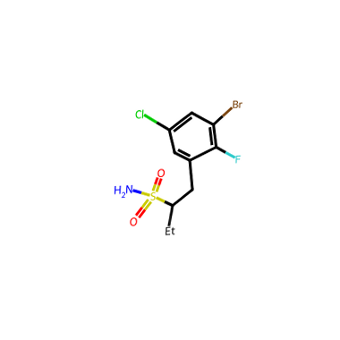 CCC(Cc1cc(Cl)cc(Br)c1F)S(N)(=O)=O